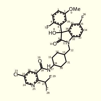 COc1ccc(F)c(C2(O)C(=O)N(CC3CCC(NC(=O)c4cc(Cl)cnc4C(F)F)CC3)c3ccc(F)cc32)c1